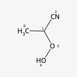 CC(C#N)OO